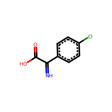 N=C(C(=O)O)c1ccc(Cl)cc1